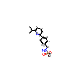 CC(C)c1cccc(-c2ccc(CNS(C)(=O)=O)cc2)n1